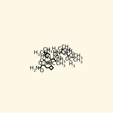 CN(C[C@@H](NC(=O)N[C@H](C(=O)N1C[C@H]2[C@@H]([C@H]1C(=O)NC(CC1CCC1)C(=O)C(N)=O)C2(C)C)C(C)(C)C)C(C)(C)C)C(=O)OC(C)(C)C